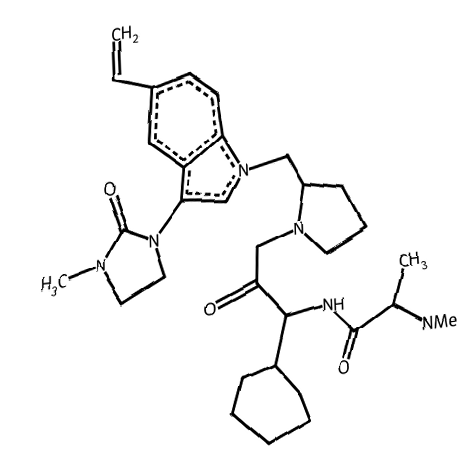 C=Cc1ccc2c(c1)c(N1CCN(C)C1=O)cn2CC1CCCN1CC(=O)C(NC(=O)C(C)NC)C1CCCCC1